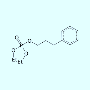 CCOP(=O)(OCC)OCCCc1ccccc1